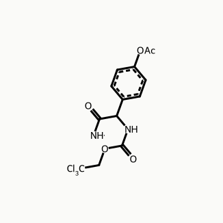 CC(=O)Oc1ccc(C(NC(=O)OCC(Cl)(Cl)Cl)C([NH])=O)cc1